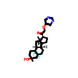 C[C@@]1(O)CC[C@]2(F)[C@H]3CC[C@]4(C)[C@@H](C(=O)COc5cncnc5)CC[C@H]4[C@@H]3CC[C@]2(F)C1